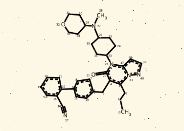 CCCc1c(Cc2ccc(-c3ccccc3C#N)cc2)c(=O)n(C2CCC(N(C)C3CCOCC3)CC2)c2ccnn12